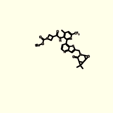 Cc1cc(C(F)(F)F)nc(-c2ccnc3cc(CN4C(=O)C5C(C6OC64)C5(C)C)sc23)c1NC(=O)C1CN(C(=O)OC(C)(C)C)C1